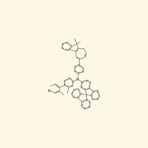 C/C=C(\C(C)=C/CC)c1ccc(N(c2ccc(C3=CC4=C(CC=C3)C(C)(C)c3ccccc34)cc2)c2ccc3c(c2)C2(c4ccccc4-c4ccccc42)c2ccccc2-3)cc1C